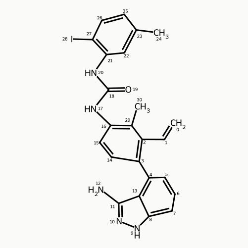 C=Cc1c(-c2cccc3[nH]nc(N)c23)ccc(NC(=O)Nc2cc(C)ccc2I)c1C